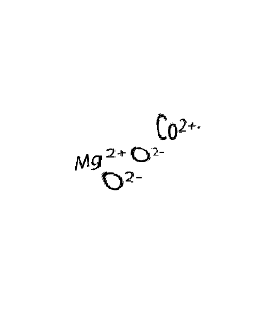 [Co+2].[Mg+2].[O-2].[O-2]